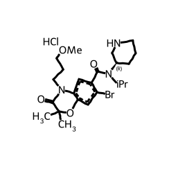 COCCCN1C(=O)C(C)(C)Oc2cc(Br)c(C(=O)N(C(C)C)[C@@H]3CCCNC3)cc21.Cl